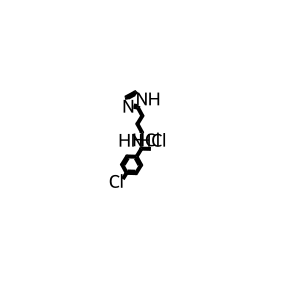 CC(NCCCc1ncc[nH]1)c1ccc(Cl)cc1.Cl.Cl